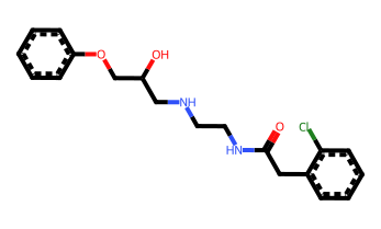 O=C(Cc1ccccc1Cl)NCCNCC(O)COc1ccccc1